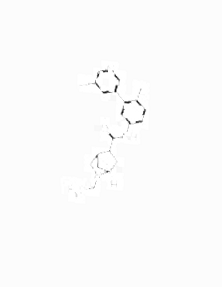 Cc1ccc(NC(=O)C2C[C@@H]3CC2CN3CC(F)(F)F)cc1-c1cncc(F)c1